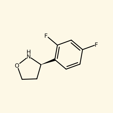 Fc1ccc([C@H]2CCON2)c(F)c1